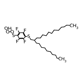 CCCCCCCCCCCCC(CCCCCCCCCC)CSc1c(F)c(F)c(SOOO)c(F)c1F